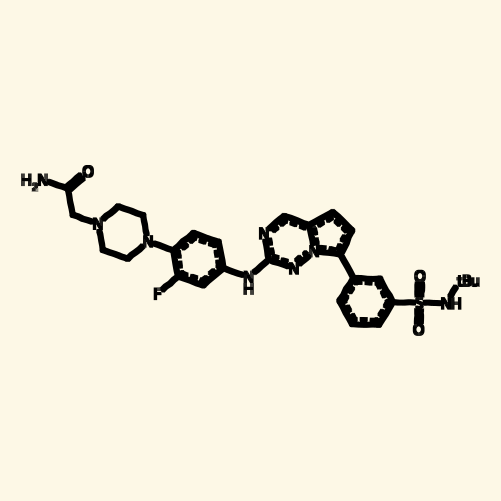 CC(C)(C)NS(=O)(=O)c1cccc(-c2ccc3cnc(Nc4ccc(N5CCN(CC(N)=O)CC5)c(F)c4)nn23)c1